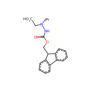 CC(C)N(CC(=O)O)NC(=O)OCC1c2ccccc2-c2ccccc21